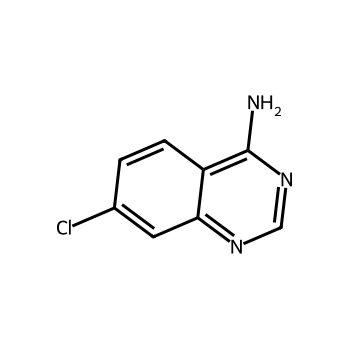 Nc1ncnc2cc(Cl)ccc12